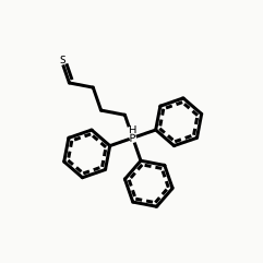 S=CCCC[PH](c1ccccc1)(c1ccccc1)c1ccccc1